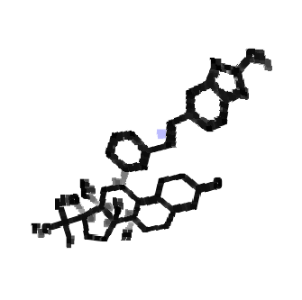 Cc1nc2cc(/C=C/c3cccc([C@H]4C[C@@]5(C)[C@@H](CC[C@@]5(O)C(F)(F)C(F)(F)F)[C@@H]5CCC6=CC(=O)CCC6=C54)c3)ccc2s1